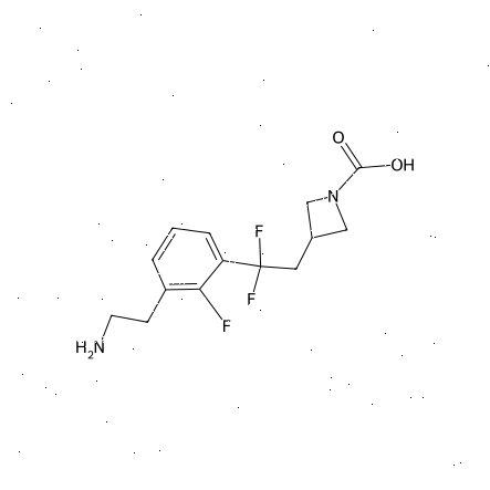 NCCc1cccc(C(F)(F)CC2CN(C(=O)O)C2)c1F